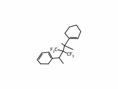 CC(C1=CC=CCC1)C(C(F)(F)F)(C(F)(F)F)C(C)(C)C1=CCCCC1